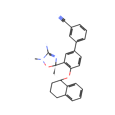 CN1O[C@]2(C[C@]3(CCCc4ccccc43)Oc3ccc(-c4cccc(C#N)c4)cc32)N=C1N